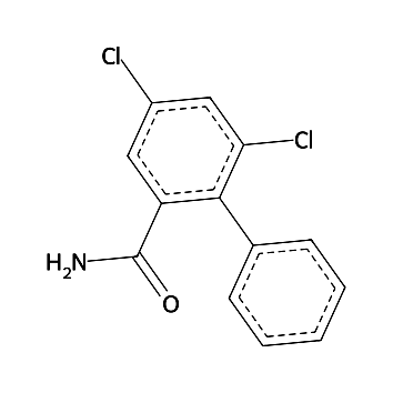 NC(=O)c1cc(Cl)cc(Cl)c1-c1ccccc1